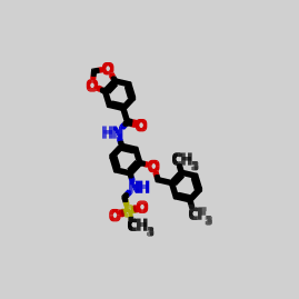 Cc1ccc(C(F)(F)F)cc1COc1cc(NC(=O)c2ccc3c(c2)OCO3)ccc1NCS(C)(=O)=O